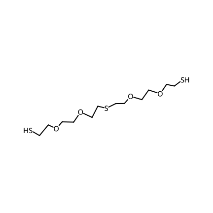 SCCOCCOCCSCCOCCOCCS